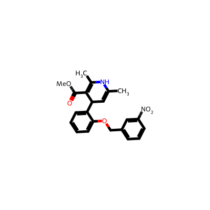 COC(=O)C1=C(C)NC(C)=CC1c1ccccc1OCc1cccc([N+](=O)[O-])c1